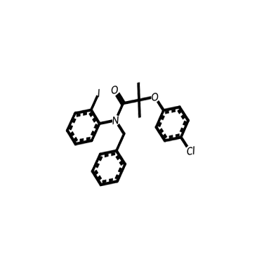 CC(C)(Oc1ccc(Cl)cc1)C(=O)N(Cc1ccccc1)c1ccccc1I